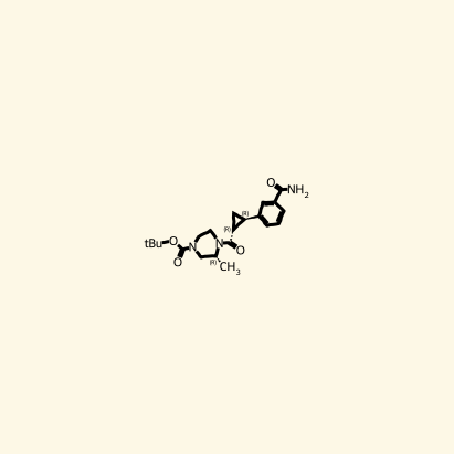 C[C@@H]1CN(C(=O)OC(C)(C)C)CCN1C(=O)[C@@H]1C[C@H]1c1cccc(C(N)=O)c1